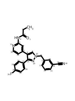 CCC(=O)Nc1cc(-c2cn(Cc3cccc(C#N)c3)nc2-c2ccc(F)cc2)ccn1